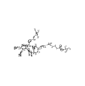 CC(C)(C)OC(=O)CCCCC#Cc1ccc(Nc2c(C#N)c(Br)nn2COCC[Si](C)(C)C)nc1